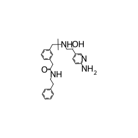 CC(C)(Cc1cccc(CC(=O)NCCc2ccccc2)c1)NC[C@H](O)c1ccc(N)nc1